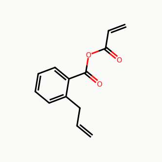 C=CCc1ccccc1C(=O)OC(=O)C=C